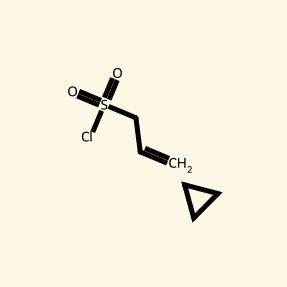 C1CC1.C=CCS(=O)(=O)Cl